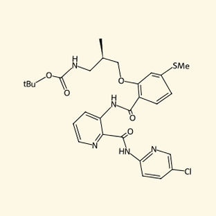 CSc1ccc(C(=O)Nc2cccnc2C(=O)Nc2ccc(Cl)cn2)c(OC[C@H](C)CNC(=O)OC(C)(C)C)c1